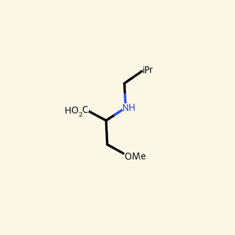 COCC(NCC(C)C)C(=O)O